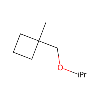 CC(C)OCC1(C)CCC1